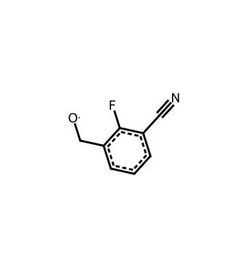 N#Cc1cccc(C[O])c1F